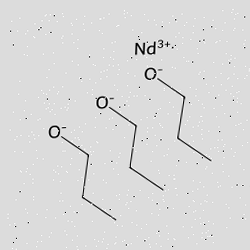 CCC[O-].CCC[O-].CCC[O-].[Nd+3]